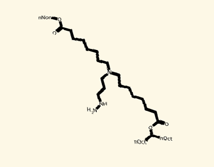 CCCCCCCCCOC(=O)CCCCCCCN(CCCCCCCC(=O)OC(CCCCCCCC)CCCCCCCC)CCCNN